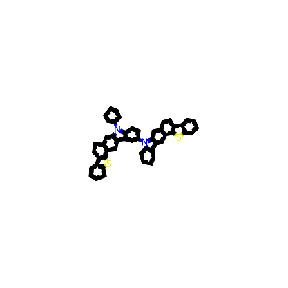 c1ccc(-n2c3ccc(-n4c5ccccc5c5cc6c(ccc7c8ccccc8sc67)cc54)cc3c3cc4c(ccc5c6ccccc6sc45)cc32)cc1